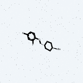 CCCC[C@H]1CC[C@H](COc2ccc(F)cc2F)CC1